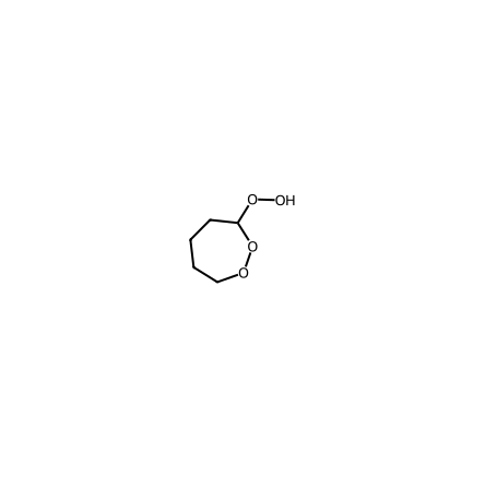 OOC1CCCCOO1